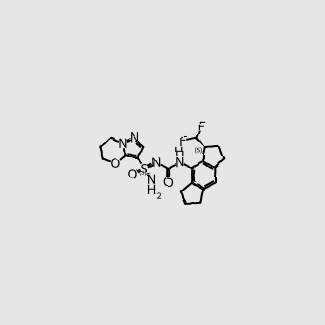 N[S@](=O)(=NC(=O)Nc1c2c(cc3c1[C@@H](C(F)F)CC3)CCC2)c1cnn2c1OCCC2